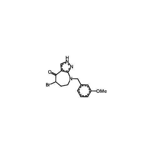 COc1cccc(CN2CCC(Br)C(=O)c3c[nH]nc32)c1